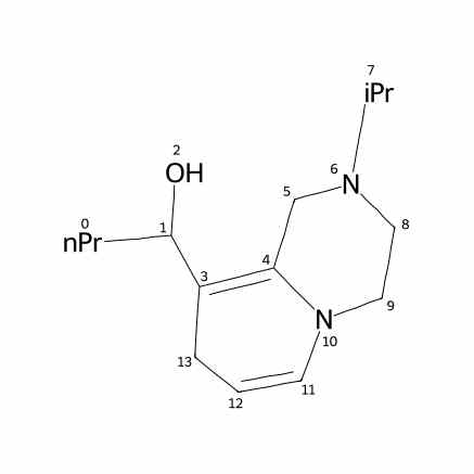 CCCC(O)C1=C2CN(C(C)C)CCN2C=CC1